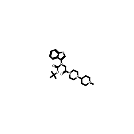 CN1CCC(N2CCN(C(=O)CN(C(=O)OC(C)(C)C)c3csc4ccccc34)CC2)CC1